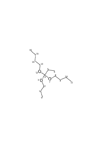 CC[CH]OC(CC)(OCCCC)OCCCC